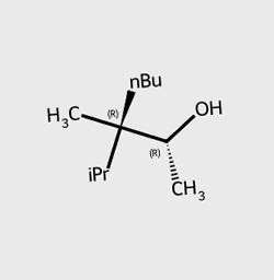 CCCC[C@](C)(C(C)C)[C@@H](C)O